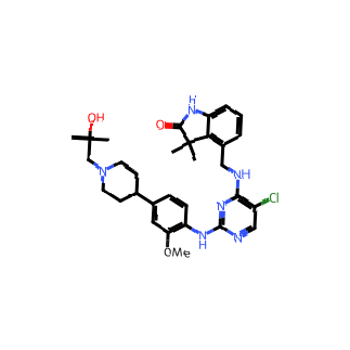 COc1cc(C2CCN(CC(C)(C)O)CC2)ccc1Nc1ncc(Cl)c(NCc2cccc3c2C(C)(C)C(=O)N3)n1